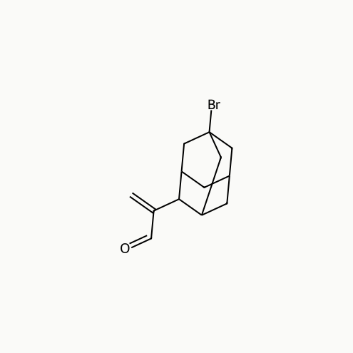 C=C(C=O)C1C2CC3CC1CC(Br)(C3)C2